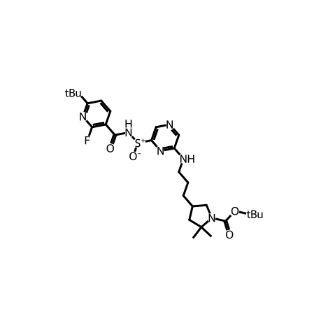 CC(C)(C)OC(=O)N1CC(CCCNc2cncc([S+]([O-])NC(=O)c3ccc(C(C)(C)C)nc3F)n2)CC1(C)C